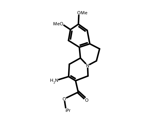 COc1cc2c(cc1OC)C1CC(N)=C(C(=O)OC(C)C)CN1CC2